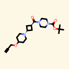 C#CCOC1CCN([C@H]2C[C@H](C(=O)N3CCN(C(=O)OC(C)(C)C)CC3)C2)CC1